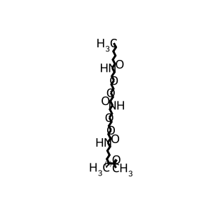 CCCCCC(=O)NCCOCCOCC(=O)NCCOCCOCC(=O)NCCCC[C@H](C)C(C)=O